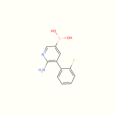 Nc1ncc(B(O)O)cc1-c1ccccc1F